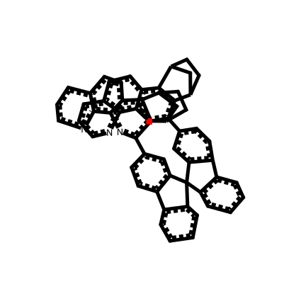 c1ccc2c(c1)-c1ccc(-c3nc4c(ccc5cccnc54)c4c3C3CCC4C3)cc1C21c2ccccc2-c2ccc(-c3nc4c(ccc5cccnc54)c4c3C3CCC4C3)cc21